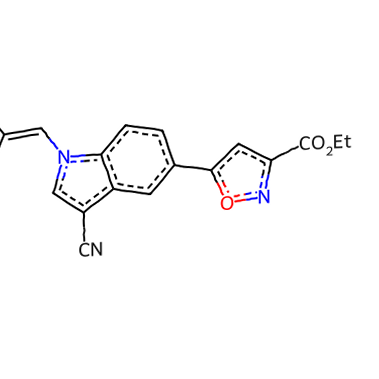 CCOC(=O)c1cc(-c2ccc3c(c2)c(C#N)cn3C=C(C)C)on1